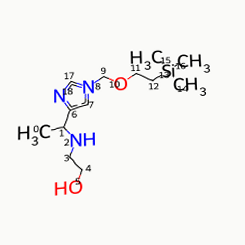 CC(NCCO)c1cn(COCC[Si](C)(C)C)cn1